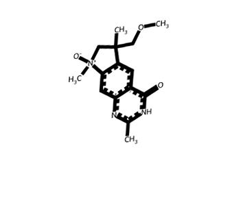 COCC1(C)C[N+](C)([O-])c2cc3nc(C)[nH]c(=O)c3cc21